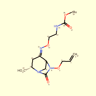 C=CCON1C(=O)N2CC1/C(=N\OCCNC(=O)OC(C)(C)C)C[C@H]2C(=O)O